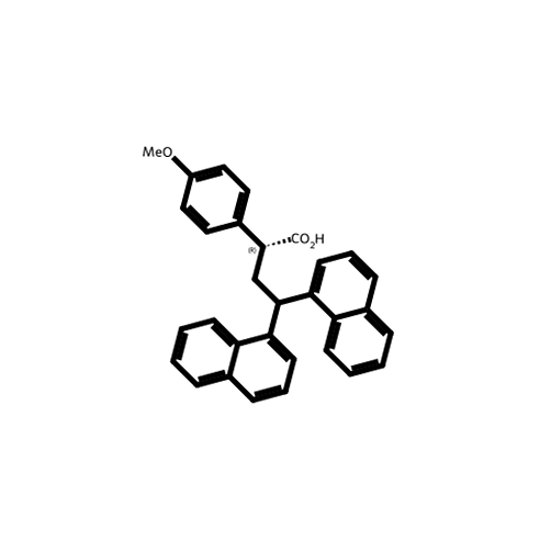 COc1ccc([C@@H](CC(c2cccc3ccccc23)c2cccc3ccccc23)C(=O)O)cc1